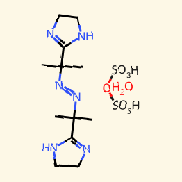 CC(C)(N=NC(C)(C)C1=NCCN1)C1=NCCN1.O.O=S(=O)(O)OS(=O)(=O)O